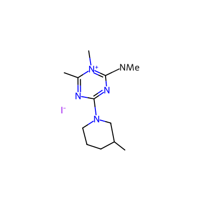 CNc1nc(N2CCCC(C)C2)nc(C)[n+]1C.[I-]